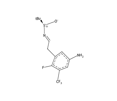 CC(C)(C)[S@@+]([O-])N=CCc1cc(N)cc(C(F)(F)F)c1F